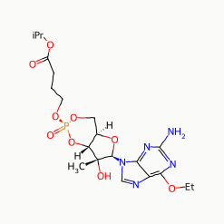 CCOc1nc(N)nc2c1ncn2[C@@H]1O[C@@H]2CO[P@](=O)(OCCCC(=O)OC(C)C)O[C@H]2[C@@]1(C)O